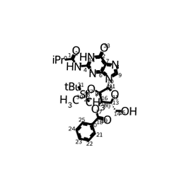 CC(C)C(=O)Nc1nc2c(ncn2[C@@H]2O[C@H](CO)[C@H](OC(=O)c3ccccc3)[C@H]2O[Si](C)(C)C(C)(C)C)c(=O)[nH]1